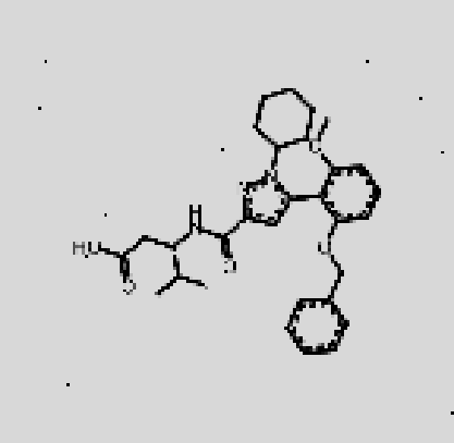 COc1cccc(OCc2ccccc2)c1-c1cc(C(=O)NC(CC(=O)O)C(C)C)nn1C1CCCCC1